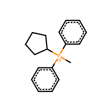 C[PH](c1ccccc1)(c1ccccc1)C1CCCC1